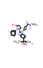 CCCNC(=O)C1CC(n2c([C@@H]3CCC(=O)N3c3ccc(F)c(F)c3)nc3cc(-c4c(C)noc4C)ccc32)C1